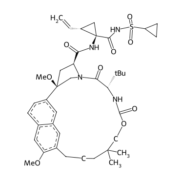 C=C[C@@H]1C[C@]1(NC(=O)[C@@H]1C[C@]2(OC)CN1C(=O)[C@H](C(C)(C)C)NC(=O)OCC(C)(C)CCCc1cc3cc2ccc3cc1OC)C(=O)NS(=O)(=O)C1CC1